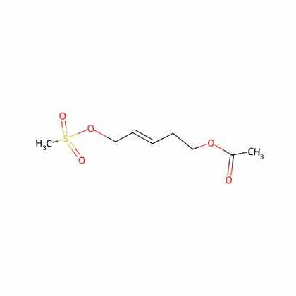 CC(=O)OCC/C=C/COS(C)(=O)=O